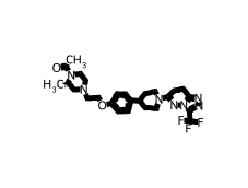 CC(=O)N1CCN(CCOc2ccc(C3CCN(C4=Nn5c(nnc5C(F)(F)F)CC4)CC3)cc2)C[C@@H]1C